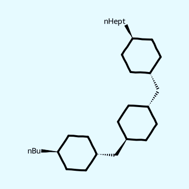 CCCCCCC[C@H]1CC[C@H](C[C@H]2CC[C@H](C[C@H]3CC[C@H](CCCC)CC3)CC2)CC1